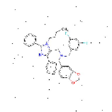 CCCCn1c(-c2ccccc2)nc(-c2ccccc2)c1CN(Cc1cc(F)cc(F)c1)Cc1ccc2c(c1)OCO2